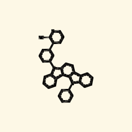 N#Cc1ncccc1-c1cccc(-n2c3ccccc3c3c2ccc2c4ccccc4n(-c4ccccc4)c23)c1